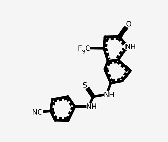 N#Cc1ccc(NC(=S)Nc2ccc3[nH]c(=O)cc(C(F)(F)F)c3c2)cc1